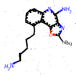 CCCCc1nc2c(N)nc3cccc(CCCCCN)c3c2o1